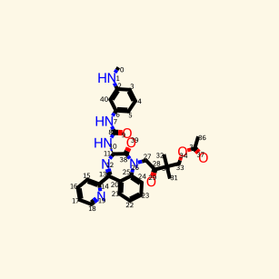 CNc1cccc(NC(=O)N[C@H]2N=C(c3ccccn3)c3ccccc3N(CC(=O)C(C)(C)COC(C)=O)C2=O)c1